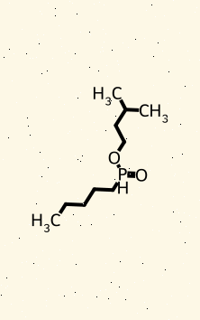 CCCCC[PH](=O)OCCC(C)C